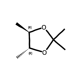 C[C@H]1OC(C)(C)O[C@@H]1C